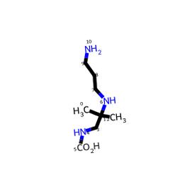 CC(C)(CNC(=O)O)NCCCN